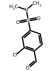 CN(C)S(=O)(=O)c1ccc(C=O)c(Cl)c1